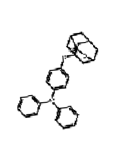 O=C1OC2CC3CC1CC(Oc1ccc([S+](c4ccccc4)c4ccccc4)cc1)(C3)C2